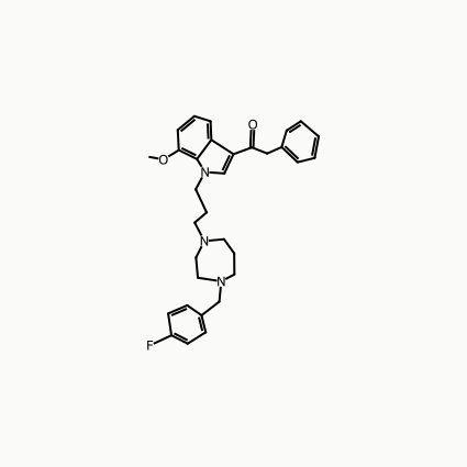 COc1cccc2c(C(=O)Cc3ccccc3)cn(CCCN3CCCN(Cc4ccc(F)cc4)CC3)c12